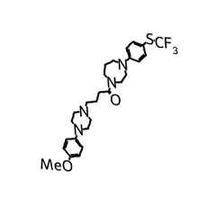 COc1ccc(N2CCN(CCCC(=O)N3CCCN(c4ccc(SC(F)(F)F)cc4)CC3)CC2)cc1